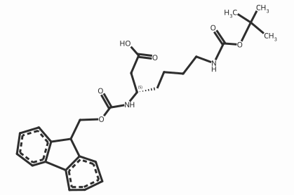 CC(C)(C)OC(=O)NCCCC[C@@H](CC(=O)O)NC(=O)OCC1c2ccccc2-c2ccccc21